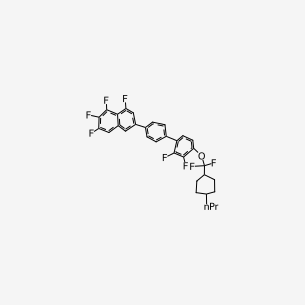 CCCC1CCC(C(F)(F)Oc2ccc(-c3ccc(-c4cc(F)c5c(F)c(F)c(F)cc5c4)cc3)c(F)c2F)CC1